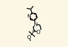 COC(C)(C)[C@H]1CN(c2ccc(C(C)C)nc2)CCO1